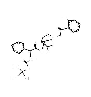 CC(C)(C)OC(=O)NC(C(=O)O[C@H]1C[N+]2(CC(=O)c3ccccc3O)CCC1CC2)c1ccccc1